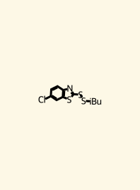 CCC(C)SSc1nc2ccc(Cl)cc2s1